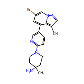 CC1(N)CCN(c2ccc(-c3cc(Br)cn4ncc(C#N)c34)cn2)CC1